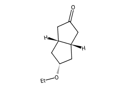 CCO[C@H]1C[C@H]2CC(=O)C[C@H]2C1